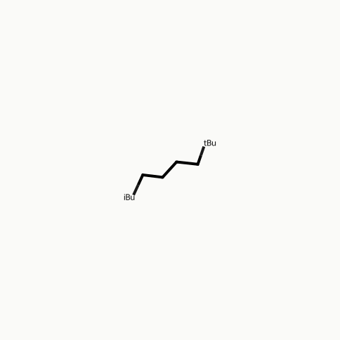 [CH2]C(CC)CCCCC(C)(C)C